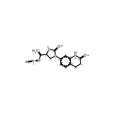 C=C(N=[N+]=[N-])C1CN(c2ccc3c(c2)NC(=O)CC3)C(=O)O1